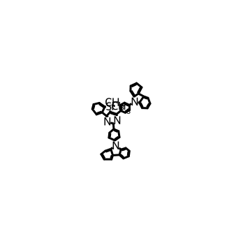 C[Si]1(C)c2ccccc2-c2nc(-c3ccc(-n4c5ccccc5c5ccccc54)cc3)nc(-c3ccc(-n4c5ccccc5c5ccccc54)cc3)c21